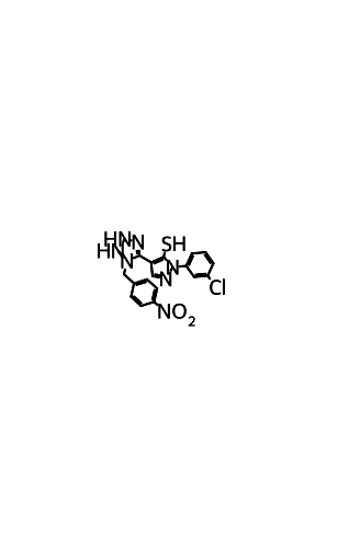 O=[N+]([O-])c1ccc(CN2NNN=C2c2cnn(-c3cccc(Cl)c3)c2S)cc1